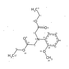 CCOC(=O)CN(CC(=O)OCC)c1ccccc1OC